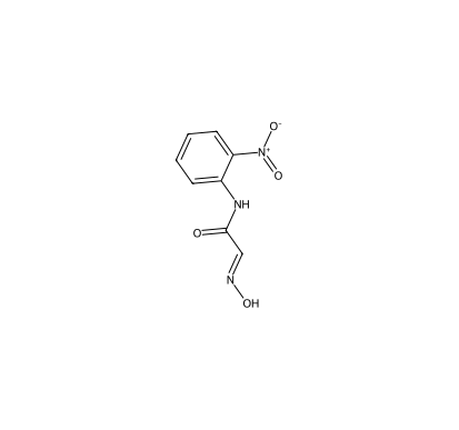 O=C(/C=N/O)Nc1ccccc1[N+](=O)[O-]